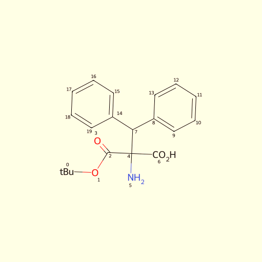 CC(C)(C)OC(=O)C(N)(C(=O)O)C(c1ccccc1)c1ccccc1